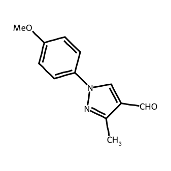 COc1ccc(-n2cc(C=O)c(C)n2)cc1